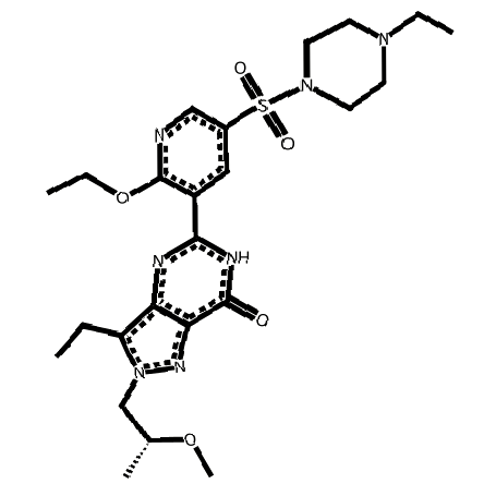 CCOc1ncc(S(=O)(=O)N2CCN(CC)CC2)cc1-c1nc2c(CC)n(C[C@@H](C)OC)nc2c(=O)[nH]1